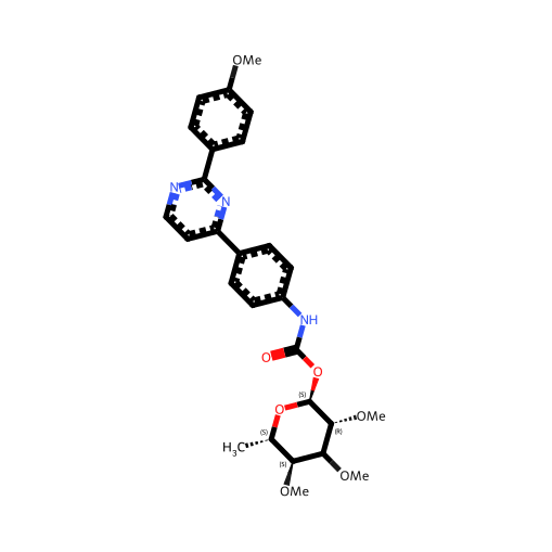 COc1ccc(-c2nccc(-c3ccc(NC(=O)O[C@@H]4O[C@@H](C)[C@H](OC)C(OC)[C@H]4OC)cc3)n2)cc1